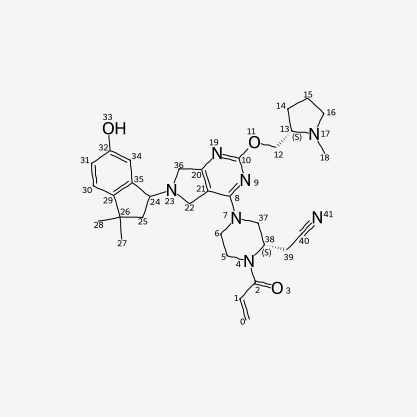 C=CC(=O)N1CCN(c2nc(OC[C@@H]3CCCN3C)nc3c2CN(C2CC(C)(C)c4ccc(O)cc42)C3)C[C@@H]1CC#N